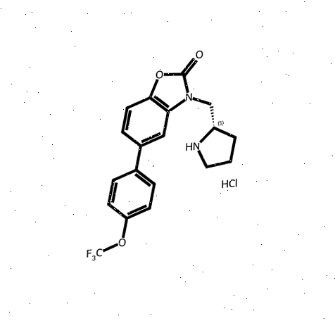 Cl.O=c1oc2ccc(-c3ccc(OC(F)(F)F)cc3)cc2n1C[C@@H]1CCCN1